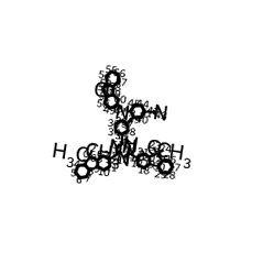 CC1(C)c2ccccc2-c2ccc(-c3nc(-c4ccc5c(c4)C(C)(C)c4ccccc4-5)nc(-c4ccc5c(c4)c4cc(C#N)ccc4n5-c4ccc5oc6ccccc6c5c4)n3)cc21